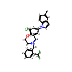 Cc1ccc2c(ccn2-c2cc(Cl)c3c(c2)CN(Cc2ccccc2C(F)F)CCO3)c1